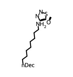 C=O.CCCCCCCCCCCCCCCCCCN.c1csnn1